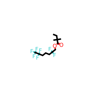 CCC(C)(C)C(=O)OCC(F)(F)CCCC(F)(F)C(F)(F)F